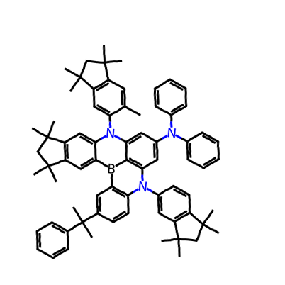 Cc1cc2c(cc1N1c3cc4c(cc3B3c5cc(C(C)(C)c6ccccc6)ccc5N(c5ccc6c(c5)C(C)(C)CC6(C)C)c5cc(N(c6ccccc6)c6ccccc6)cc1c53)C(C)(C)CC4(C)C)C(C)(C)CC2(C)C